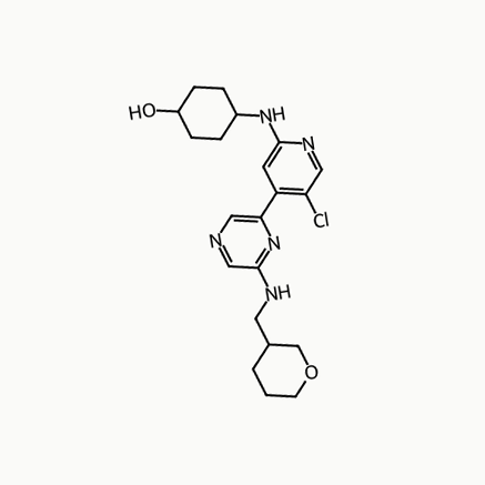 OC1CCC(Nc2cc(-c3cncc(NCC4CCCOC4)n3)c(Cl)cn2)CC1